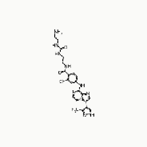 NCCNC(=O)NCCNC(=O)c1ccc(Nc2nccn3c(-c4c[nH]nc4C(F)(F)F)cnc23)cc1Cl